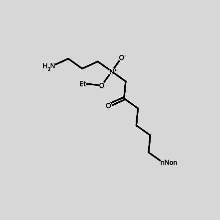 CCCCCCCCCCCCCC(=O)C[N+]([O-])(CCCN)OCC